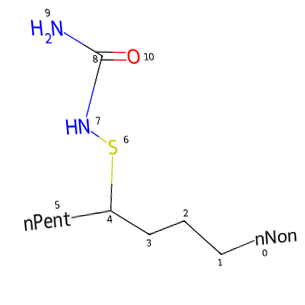 CCCCCCCCCCCCC(CCCCC)SNC(N)=O